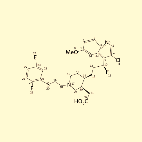 COc1ccc2ncc(Cl)c([C@@H](F)CC[C@@H]3CCN(CCSc4cc(F)ccc4F)C[C@@H]3CC(=O)O)c2c1